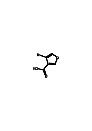 O=C(O)c1cocc1Br